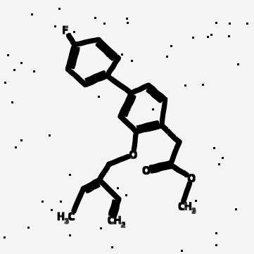 C=C/C(=C\C)COc1cc(-c2ccc(F)cc2)ccc1CC(=O)OC